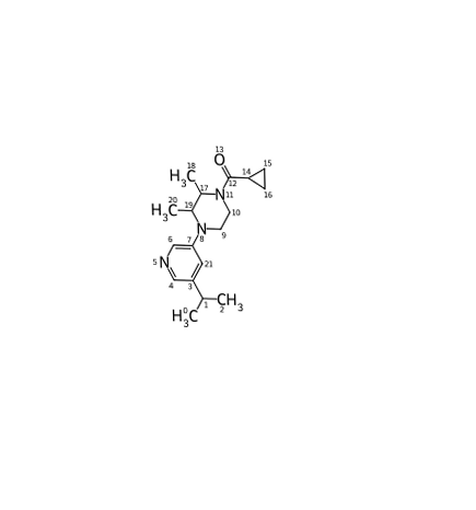 CC(C)c1cncc(N2CCN(C(=O)C3CC3)C(C)C2C)c1